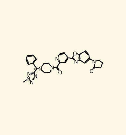 Cn1nnc([C@@H](c2ccccc2)N2CCN(C(=O)c3cc(-c4nc5cc(N6CCCC6=O)ccc5o4)ccn3)CC2)n1